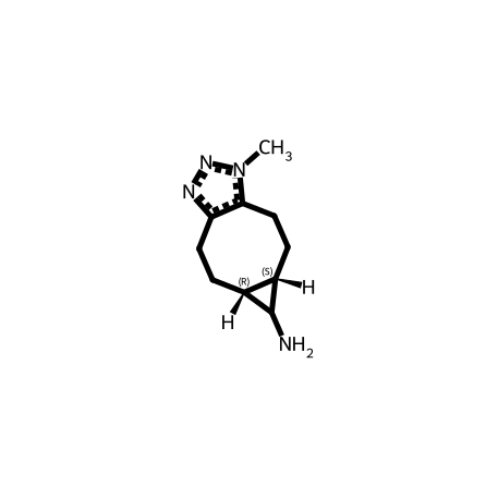 Cn1nnc2c1CC[C@@H]1C(N)[C@@H]1CC2